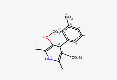 CCOC(=O)C1=C(C)NC(C)=C(OC(=O)O)C1c1cccc([N+](=O)[O-])c1